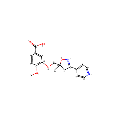 COc1ccc(C(=O)O)cc1OCC1(C)CC(c2ccncc2)=NO1